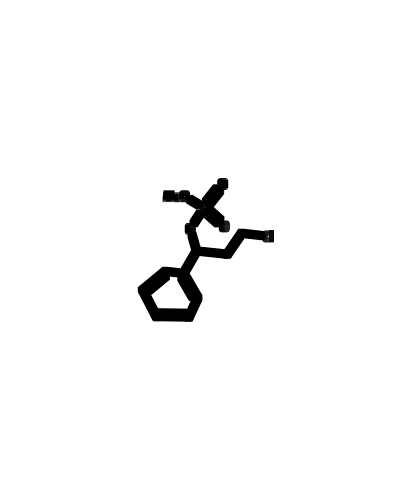 COS(=O)(=O)OC(CCCl)c1ccccc1